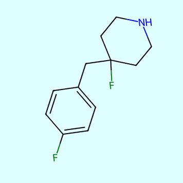 Fc1ccc(CC2(F)CCNCC2)cc1